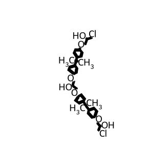 CC(C)(c1ccc(OCC(O)CCl)cc1)c1ccc(OCC(O)COc2ccc(C(C)(C)c3ccc(OCC(O)CCl)cc3)cc2)cc1